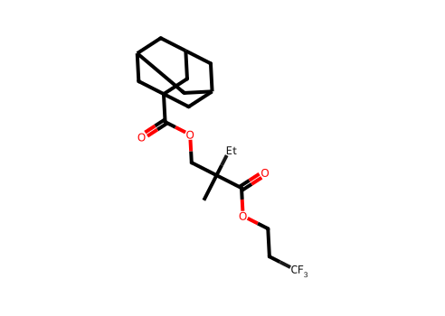 CCC(C)(COC(=O)C12CC3CC(CC(C3)C1)C2)C(=O)OCCC(F)(F)F